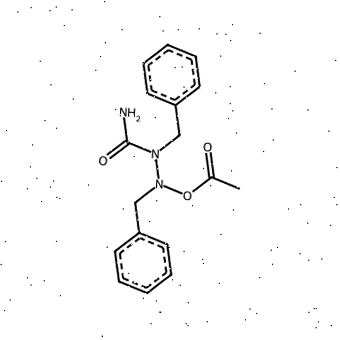 CC(=O)ON(Cc1ccccc1)N(Cc1ccccc1)C(N)=O